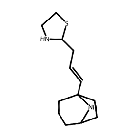 C(=CC12CCCC(CC1)N2)CC1NCCS1